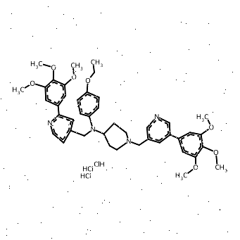 CCOc1ccc(N(Cc2ccnc(-c3cc(OC)c(OC)c(OC)c3)c2)C2CCN(Cc3cncc(-c4cc(OC)c(OC)c(OC)c4)c3)CC2)cc1.Cl.Cl.Cl